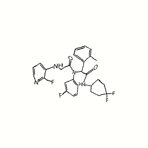 Cc1ccccc1C(C(=O)NC1CCC(F)(F)CC1)N(C(=O)CNc1cccnc1F)c1cccc(F)c1